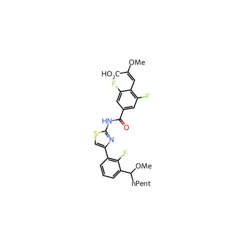 CCCCCC(OC)c1cccc(-c2csc(NC(=O)c3cc(F)c(/C=C(/OC)C(=O)O)c(F)c3)n2)c1F